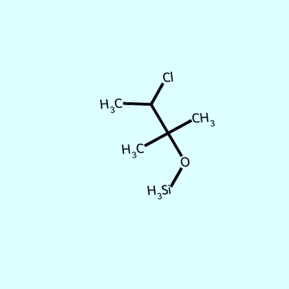 CC(Cl)C(C)(C)O[SiH3]